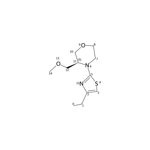 CCc1csc(N2CCOC[C@@H]2COC)n1